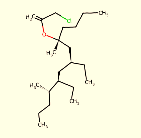 C=C(CCl)O[C@](C)(CCCC)C[C@@H](CC)C[C@@H](CC)[C@@H](C)CCC